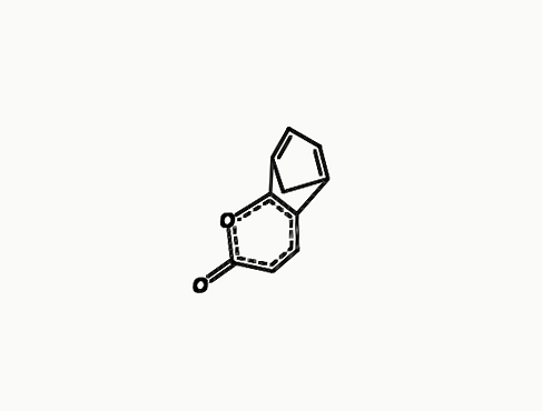 O=c1ccc2c(o1)C1=CC=C2C1